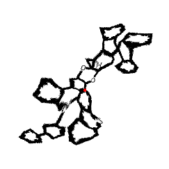 C1=CC(N(c2ccccc2C2=CC3OC45C[C@H]4C4=C(C=C5OC3C=C2)C2(c3ccccc34)c3ccccc3-c3ccccc32)c2cccc3sc4ccccc4c23)CC(c2ccccc2)=C1